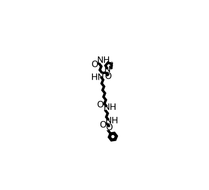 NC(=O)CCC(NCCCCCCCC(=O)NCCCNC(=O)OCc1ccccc1)C(=O)N1CCCC1